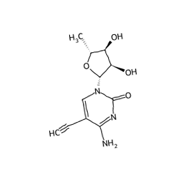 C#Cc1cn([C@@H]2O[C@H](C)[C@@H](O)[C@H]2O)c(=O)nc1N